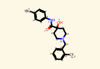 CC(C)(C)c1ccc(NC(=O)C2(O)CCN(Cc3ccccc3C(F)(F)F)CC2)cc1